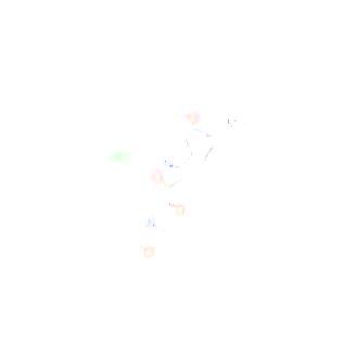 COc1ccc(-c2cc(C(=O)CN3CCOCC3)on2)cc1OC1CCCC1.Cl